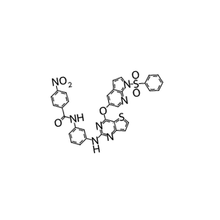 O=C(Nc1cccc(Nc2nc(Oc3cnc4c(ccn4S(=O)(=O)c4ccccc4)c3)c3sccc3n2)c1)c1ccc([N+](=O)[O-])cc1